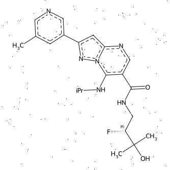 Cc1cncc(-c2cc3ncc(C(=O)NC[C@@H](F)C(C)(C)O)c(NC(C)C)n3n2)c1